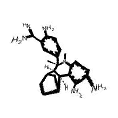 CN1c2ccc(N)c(N)c2[C@H]2C3CCC(C3)[C@H]2[C@]1(C)c1ccc(N)c(C(=N)N)c1